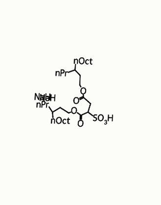 CCCCCCCCC(CCC)CCOC(=O)CC(C(=O)OCCC(CCC)CCCCCCCC)S(=O)(=O)O.[NaH].[NaH]